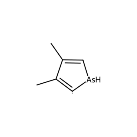 CC1=[C][AsH]C=C1C